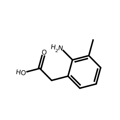 Cc1cccc(CC(=O)O)c1N